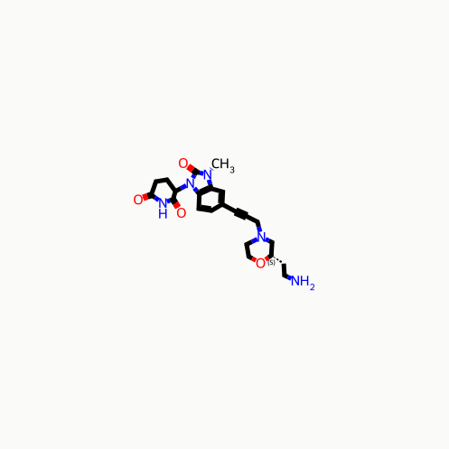 Cn1c(=O)n(C2CCC(=O)NC2=O)c2ccc(C#CCN3CCO[C@@H](CCN)C3)cc21